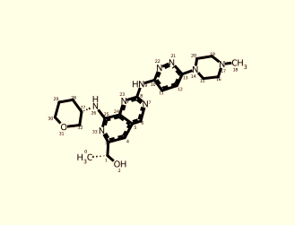 C[C@@H](O)c1cc2cnc(Nc3ccc(N4CCN(C)CC4)nn3)nc2c(N[C@H]2CCCOC2)n1